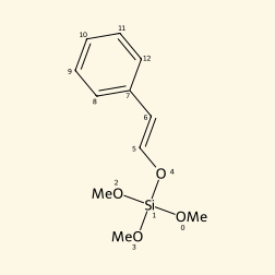 CO[Si](OC)(OC)OC=Cc1ccccc1